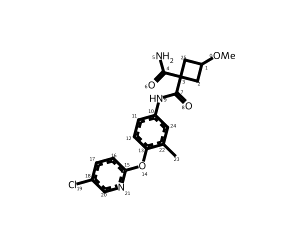 COC1CC(C(N)=O)(C(=O)Nc2ccc(Oc3ccc(Cl)cn3)c(C)c2)C1